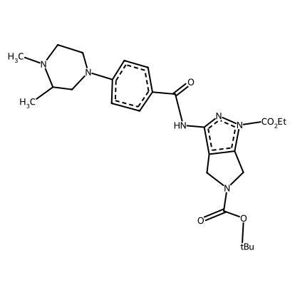 CCOC(=O)n1nc(NC(=O)c2ccc(N3CCN(C)C(C)C3)cc2)c2c1CN(C(=O)OC(C)(C)C)C2